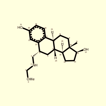 COCNC[C@H]1C[C@@H]2[C@H](CC[C@]3(C)[C@@H](O)CC[C@@H]23)c2ccc(O)cc21